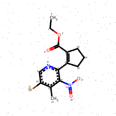 CCOC(=O)C1=C(c2ncc(Br)c(C)c2[N+](=O)[O-])CCC1